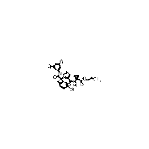 C=CCOC(=O)C1(NC(=O)c2cnc3n2[C@]2(Cc4ccc(Br)cc42)C(=O)N3c2cc(Cl)cc(Cl)c2)CC1